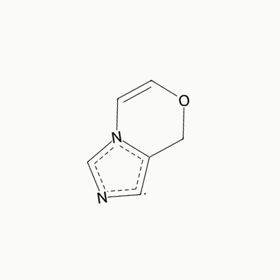 [c]1ncn2c1COC=C2